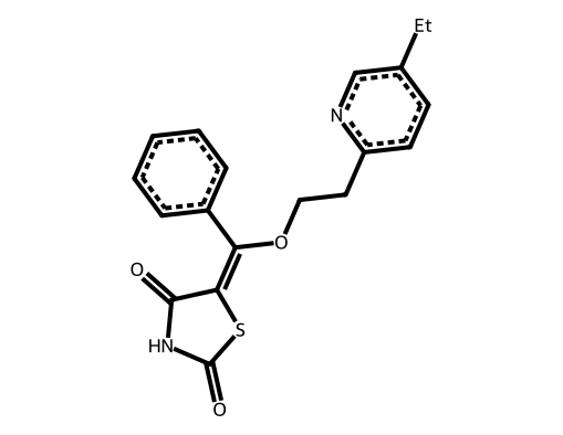 CCc1ccc(CCOC(=C2SC(=O)NC2=O)c2ccccc2)nc1